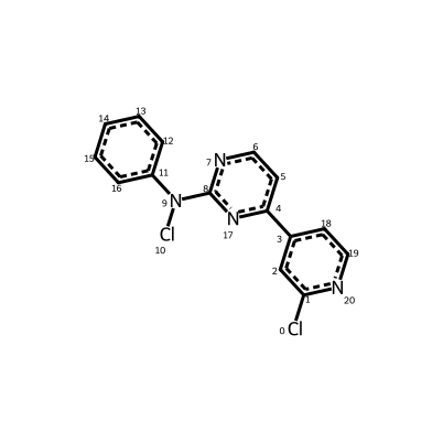 Clc1cc(-c2ccnc(N(Cl)c3ccccc3)n2)ccn1